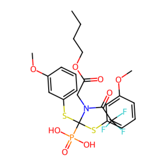 CCCCOC(=O)CN(C(=O)C(F)(F)F)C(Sc1cccc(OC)c1)(Sc1cccc(OC)c1)P(=O)(O)O